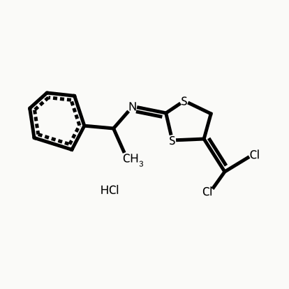 CC(N=C1SCC(=C(Cl)Cl)S1)c1ccccc1.Cl